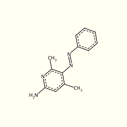 Cc1cc(N)nc(C)c1N=Nc1ccccc1